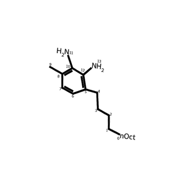 CCCCCCCCCCCCc1ccc(C)c(N)c1N